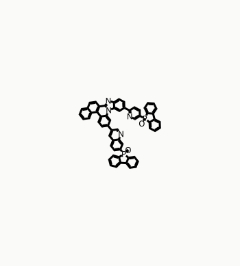 O=P1(c2ccc(-c3ccc4nc5c6ccc7ccccc7c6c6ccc(-c7cnc8cc(P9(=O)c%10ccccc%10-c%10ccccc%109)ccc8c7)cc6n5c4c3)nc2)c2ccccc2-c2ccccc21